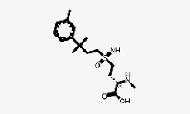 CN[C@@H](CCS(=N)(=O)CCC(C)(C)c1cccc(C)c1)C(=O)O